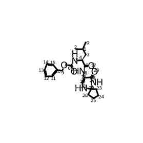 CC(C)C[C@H](NC(=O)OCc1ccccc1)C(=O)NC1=CNC2(CCCC2)NC1=O